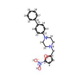 O=[N+]([O-])c1ccc(CN2CCN(c3ccc(-c4ccccc4)cc3)CC2)o1